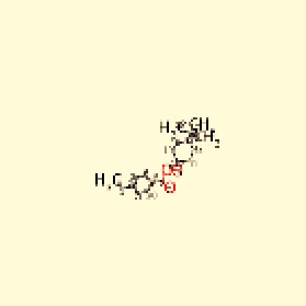 CCc1ccc(C(=O)OO[C]2CCC(C(C)(C)C)CC2)cc1